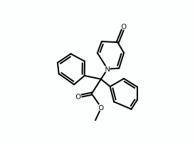 COC(=O)C(c1ccccc1)(c1ccccc1)n1ccc(=O)cc1